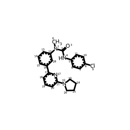 CN(C(=O)Nc1ccc(Cl)cc1)c1cccc(-c2cccc(N3CCCC3)n2)c1